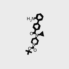 CC(C)(C)OC(=O)N1CCC(N(C(=O)c2ccc(-c3ccccc3N)cc2)C2CC2)CC1